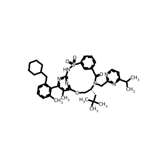 Cc1cccc(CC2CCCCC2)c1-c1nc2nc(c1C)OC[C@@H](CC(C)(C)C)N(Cc1nccc(C(C)C)n1)C(=O)c1cccc(c1)S(=O)(=O)N2